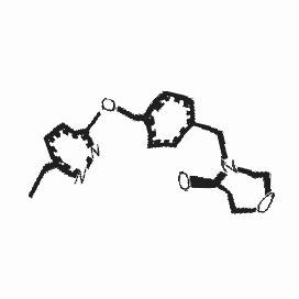 Cc1ccc(Oc2ccc(CN3COCC3=O)cc2)nn1